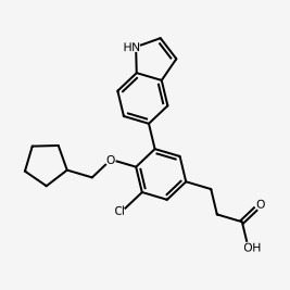 O=C(O)CCc1cc(Cl)c(OCC2CCCC2)c(-c2ccc3[nH]ccc3c2)c1